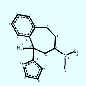 CCN(CC)C1CCc2ccccc2C(O)(c2cccs2)C1